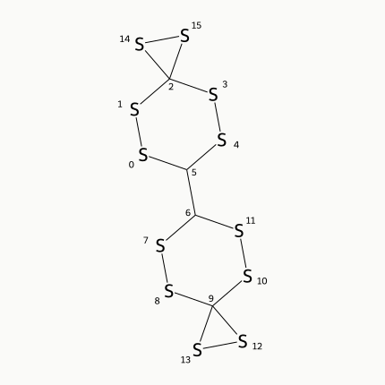 S1SC2(SSC1C1SSC3(SS1)SS3)SS2